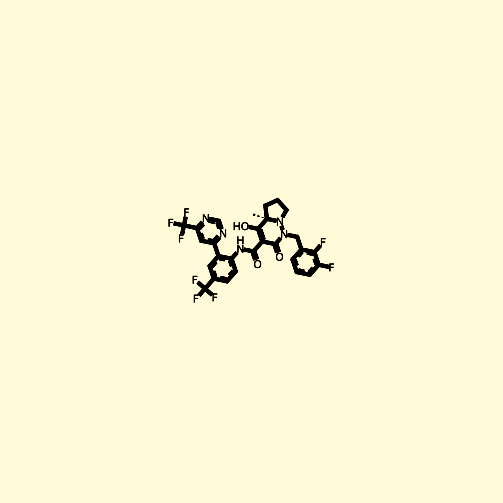 C[C@]12CCCN1N(Cc1cccc(F)c1F)C(=O)C(C(=O)Nc1ccc(C(F)(F)F)cc1-c1cc(C(F)(F)F)ncn1)=C2O